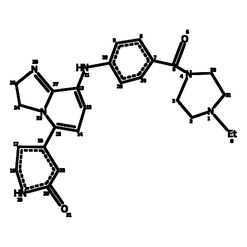 CCN1CCN(C(=O)c2ccc(NC3=CC=C(c4cc[nH]c(=O)c4)N4CCN=C34)cc2)CC1